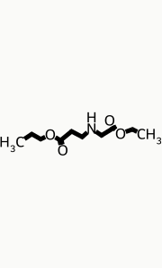 CCCOC(=O)CCNCC(=O)OCC